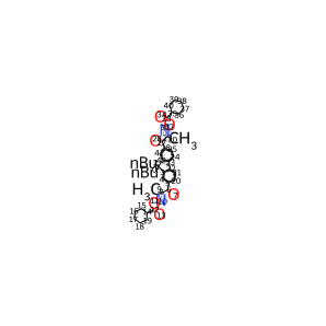 CCCCC1(CCCC)c2cc(C(=O)/C(C)=N/OC(=O)C3CCCCC3)ccc2-c2ccc(C(=O)/C(C)=N/OC(=O)C3CCCCC3)cc21